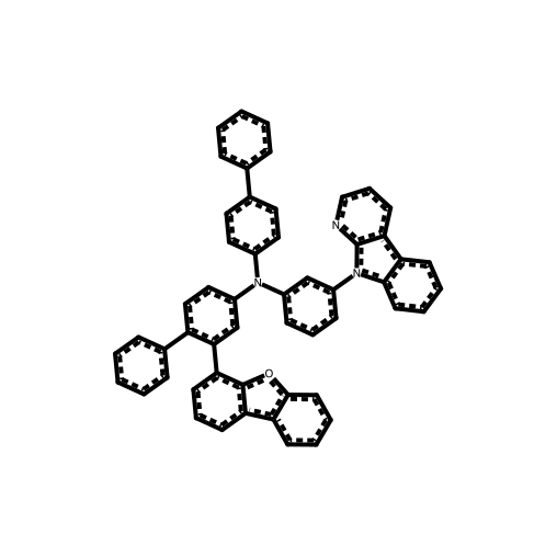 c1ccc(-c2ccc(N(c3cccc(-n4c5ccccc5c5cccnc54)c3)c3ccc(-c4ccccc4)c(-c4cccc5c4oc4ccccc45)c3)cc2)cc1